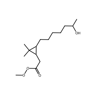 COOC(=O)CC1C(CCCCCC(C)O)C1(C)C